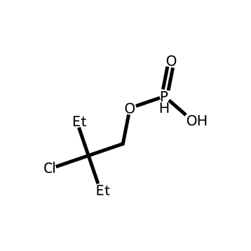 CCC(Cl)(CC)CO[PH](=O)O